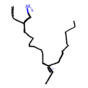 C=CC(CN)CCCCC/C(=C\C)CCCCCC